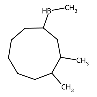 CBC1CCCCCC(C)C(C)C1